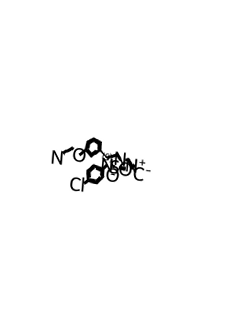 [C-]#[N+]CN1C[C@H](c2cccc(OCC#N)c2)N(c2ccc(Cl)cc2)S1(=O)=O